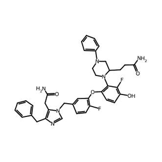 NC(=O)CCC1CN(c2ccccc2)CCN1c1c(Oc2cc(Cn3cnc(Cc4ccccc4)c3CC(N)=O)ccc2F)ccc(O)c1F